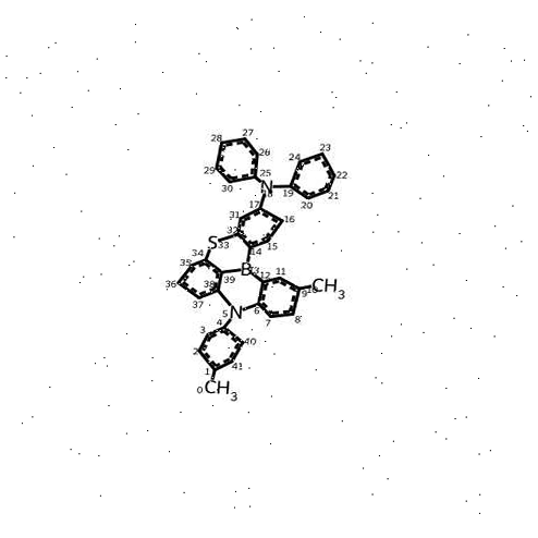 Cc1ccc(N2c3ccc(C)cc3B3c4ccc(N(c5ccccc5)c5ccccc5)cc4Sc4cccc2c43)cc1